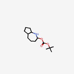 CC(C)(C)OC(=O)OC1CCCC2CCCC2N1